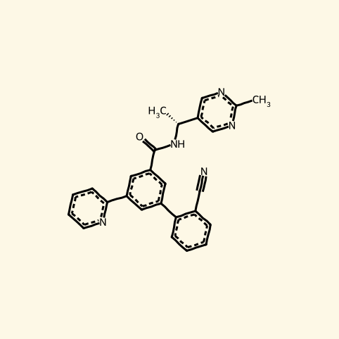 Cc1ncc([C@@H](C)NC(=O)c2cc(-c3ccccn3)cc(-c3ccccc3C#N)c2)cn1